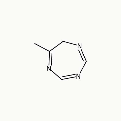 CC1=NC=NC=NC1